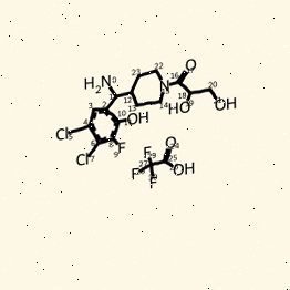 NC(c1cc(Cl)c(Cl)c(F)c1O)C1CCN(C(=O)C(O)CO)CC1.O=C(O)C(F)(F)F